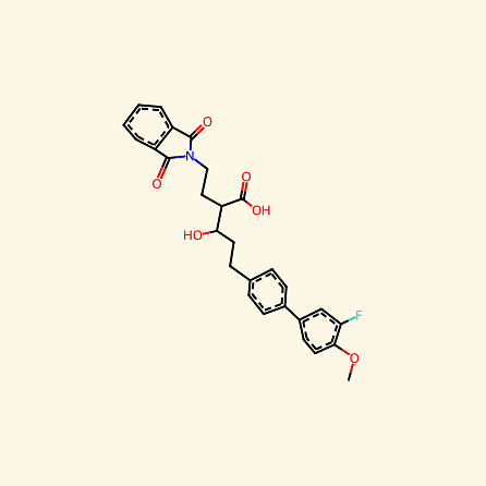 COc1ccc(-c2ccc(CCC(O)C(CCN3C(=O)c4ccccc4C3=O)C(=O)O)cc2)cc1F